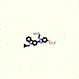 COCCn1c(-c2ccc3c(c2)c2ccccc2n3CC2CC2)nc2cc(OC(=O)O)ccc21